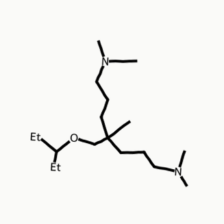 CCC(CC)OCC(C)(CCCN(C)C)CCCN(C)C